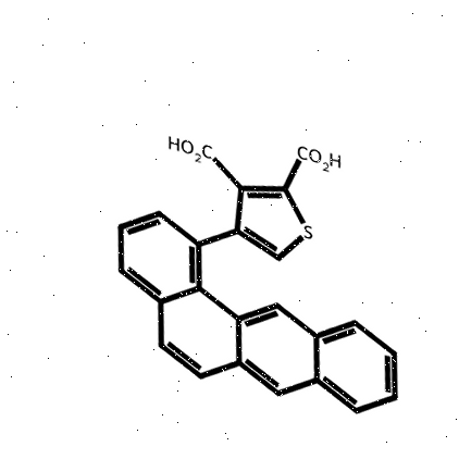 O=C(O)c1scc(-c2cccc3ccc4cc5ccccc5cc4c23)c1C(=O)O